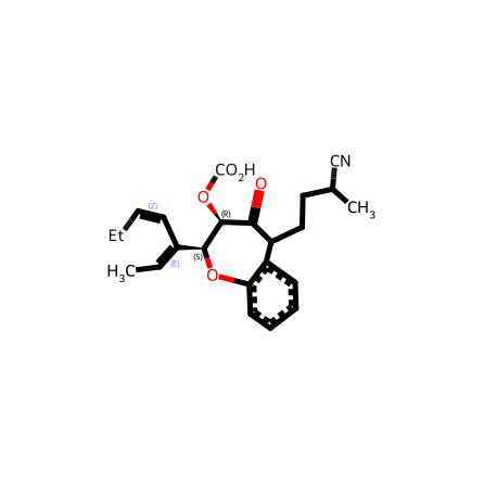 C/C=C(\C=C/CC)[C@@H]1Oc2ccccc2C(CCC(C)C#N)C(=O)[C@@H]1OC(=O)O